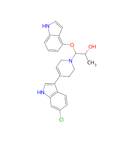 CC(O)C(Oc1cccc2[nH]ccc12)N1CC=C(c2c[nH]c3cc(Cl)ccc23)CC1